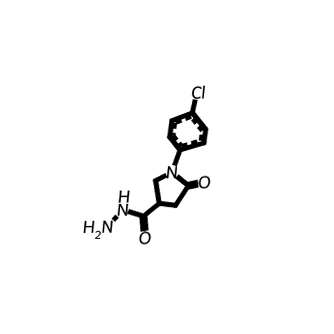 NNC(=O)C1CC(=O)N(c2ccc(Cl)cc2)C1